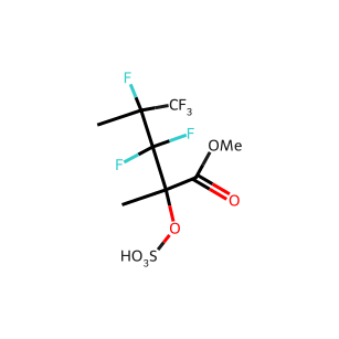 COC(=O)C(C)(OS(=O)(=O)O)C(F)(F)C(C)(F)C(F)(F)F